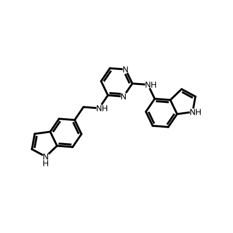 c1cc(Nc2nccc(NCc3ccc4[nH]ccc4c3)n2)c2cc[nH]c2c1